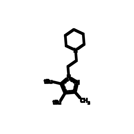 Cc1nn(CCN2CCCCC2)c(C(C)(C)C)c1C(C)(C)C